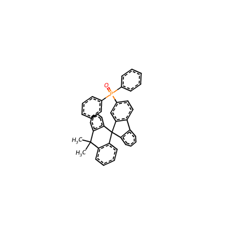 CC1(C)c2ccccc2C2(c3ccccc3-c3ccc(P(=O)(c4ccccc4)c4ccccc4)cc32)c2ccccc21